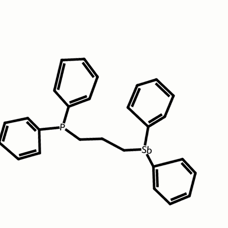 c1ccc(P(CC[CH2][Sb]([c]2ccccc2)[c]2ccccc2)c2ccccc2)cc1